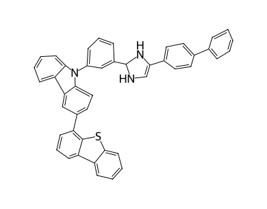 C1=C(c2ccc(-c3ccccc3)cc2)NC(c2cccc(-n3c4ccccc4c4cc(-c5cccc6c5sc5ccccc56)ccc43)c2)N1